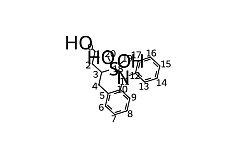 OCCC1Cc2ccccc2N(c2ccccc2)S1(O)O